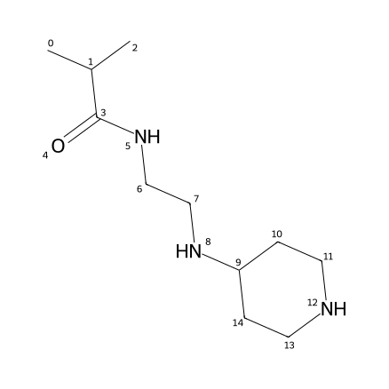 CC(C)C(=O)NCCNC1CCNCC1